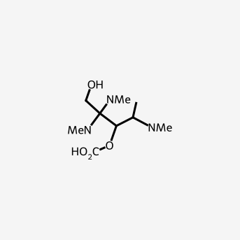 CNC(C)C(OC(=O)O)C(CO)(NC)NC